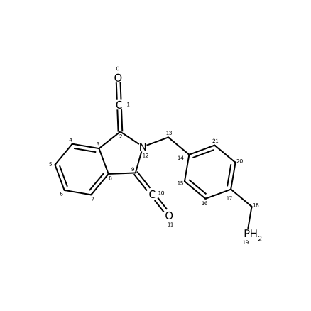 O=C=c1c2ccccc2c(=C=O)n1Cc1ccc(CP)cc1